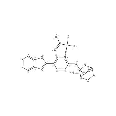 O=C(O)C(F)(F)F.c1ccc2oc(-c3ccc(O[C@H]4CN5CCC4CC5)nn3)cc2c1